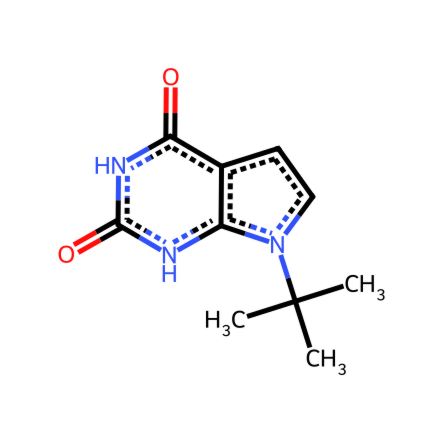 CC(C)(C)n1ccc2c(=O)[nH]c(=O)[nH]c21